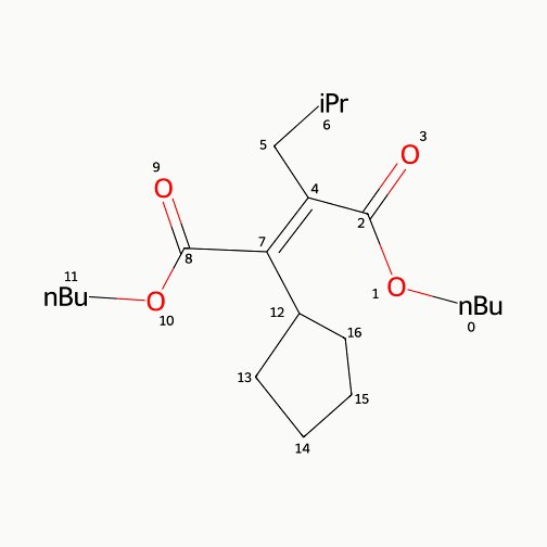 CCCCOC(=O)C(CC(C)C)=C(C(=O)OCCCC)C1CCCC1